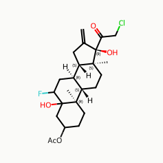 C=C1C[C@H]2[C@@H]3CC(F)C4(O)CC(OC(C)=O)CC[C@]4(C)[C@H]3CC[C@]2(C)[C@@]1(O)C(=O)CCl